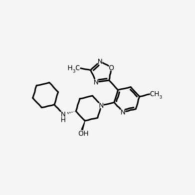 Cc1cnc(N2CC[C@@H](NC3CCCCC3)[C@H](O)C2)c(-c2nc(C)no2)c1